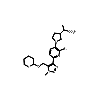 CCc1nc(-c2nnn(C)c2COC2CCCCO2)ccc1N1CC[C@@H](C(C)C(=O)O)C1